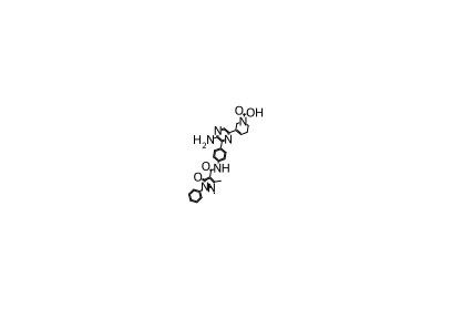 Cc1c(C(=O)Nc2ccc(-c3nc(C4=CCCN(C(=O)O)C4)cnc3N)cc2)c(=O)n(-c2ccccc2)n1C